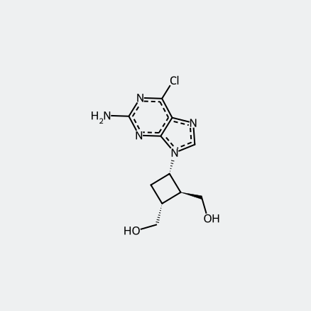 Nc1nc(Cl)c2ncn([C@H]3C[C@@H](CO)[C@@H]3CO)c2n1